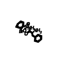 N[C@@H](Cc1ccccc1)C(=O)NS(=O)(=O)c1ccccc1Br